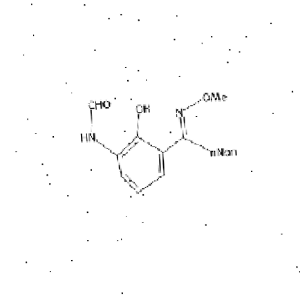 CCCCCCCCCC(=NOC)c1cccc(NC=O)c1O